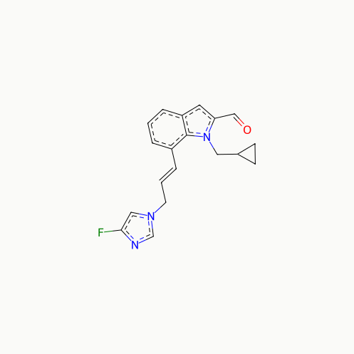 O=Cc1cc2cccc(/C=C/Cn3cnc(F)c3)c2n1CC1CC1